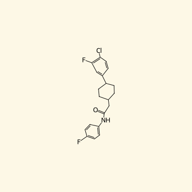 O=C(CC1CCC(c2ccc(Cl)c(F)c2)CC1)Nc1ccc(F)cc1